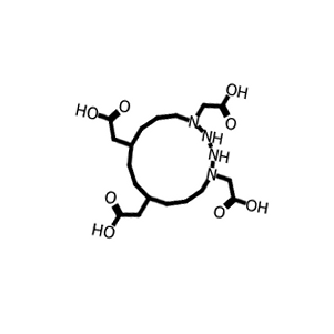 O=C(O)CC1CCCN(CC(=O)O)NNN(CC(=O)O)CCCC(CC(=O)O)CC1